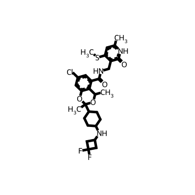 CSc1cc(C)[nH]c(=O)c1CNC(=O)c1cc(Cl)cc2c1C(C)OC(C)(C1CCC(NC3CC(F)(F)C3)CC1)O2